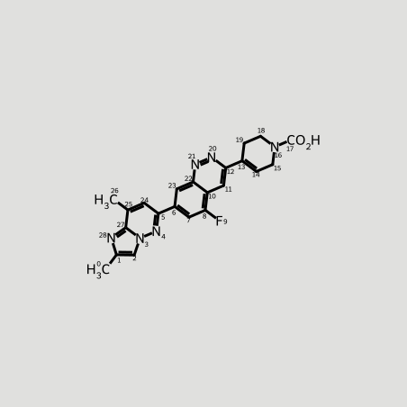 Cc1cn2nc(-c3cc(F)c4cc(C5=CCN(C(=O)O)CC5)nnc4c3)cc(C)c2n1